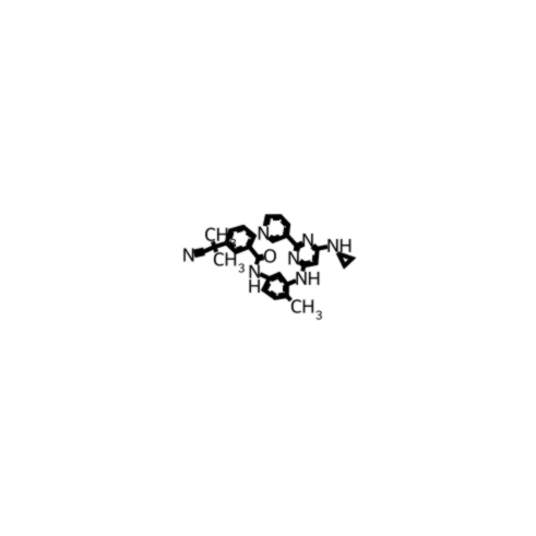 Cc1ccc(NC(=O)c2cccc(C(C)(C)C#N)c2)cc1Nc1cc(NC2CC2)nc(-c2cccnc2)n1